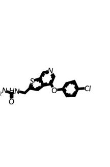 NC(=O)NCc1cc2c(Oc3ccc(Cl)cc3)cncc2s1